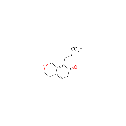 O=C(O)CCC1=C2COCCC2=CCC1=O